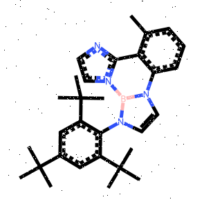 Cc1cccc2c1-c1nccn1B1N2C=CN1c1c(C(C)(C)C)cc(C(C)(C)C)cc1C(C)(C)C